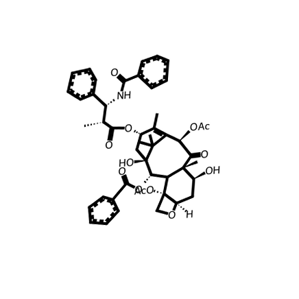 CC(=O)O[C@H]1C(=O)[C@@]2(C)C([C@H](OC(=O)c3ccccc3)[C@]3(O)C[C@H](OC(=O)[C@H](C)[C@@H](NC(=O)c4ccccc4)c4ccccc4)C(C)=C1C3(C)C)[C@]1(OC(C)=O)CO[C@@H]1C[C@@H]2O